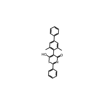 Cc1cc(-c2ccccc2)cc(C)c1-c1c(O)sc(-c2ccccc2)nc1=O